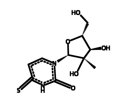 C[C@@]1(O)[C@H](O)[C@@H](CO)O[C@H]1n1ccc(=S)[nH]c1=O